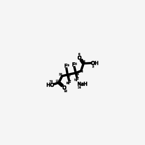 O=C(O)CC(F)(F)C(F)(F)CC(=O)O.[NaH]